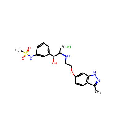 CCCC(NCCOc1ccc2c(C)n[nH]c2c1)C(O)c1cccc(NS(C)(=O)=O)c1.Cl